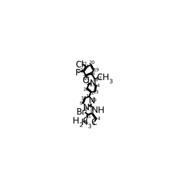 C=C(Br)/C(=C\C)Nc1nccc(-c2ccn([C@H](C)c3ccc(Cl)c(F)c3)c(=O)c2)n1